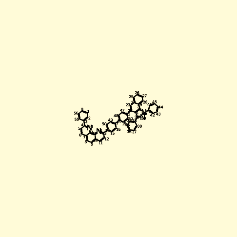 c1ccc(-c2ccc3ccc4ccc(-c5ccc(-c6ccc(-c7cc8ccccc8c8c7c(-c7ccccc7)nn8-c7ccccc7)cc6)cc5)nc4c3n2)cc1